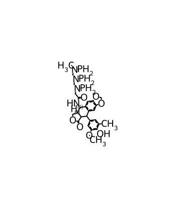 COc1cc(C2c3cc4c(cc3[C@@H](NC(=O)CN(P)CN(P)CN(C)P)[C@H]3COC(=O)C23)OCO4)cc(C)c1O